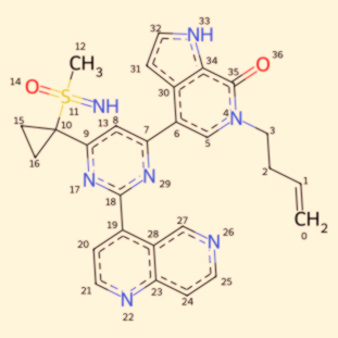 C=CCCn1cc(-c2cc(C3(S(C)(=N)=O)CC3)nc(-c3ccnc4ccncc34)n2)c2cc[nH]c2c1=O